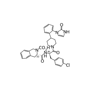 O=C(N[C@H](Cc1ccc(Cl)cc1)C(=O)N1CCC(c2ccccc2-n2cc[nH]c2=O)CC1)[C@@H]1Cc2ccccc2CN1C(=O)O